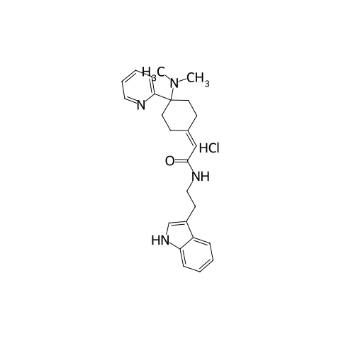 CN(C)C1(c2ccccn2)CCC(=CC(=O)NCCc2c[nH]c3ccccc23)CC1.Cl